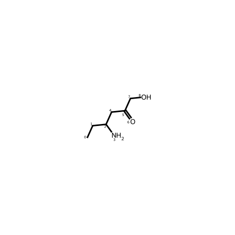 CCC(N)CC(=O)CO